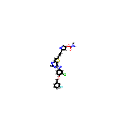 CN(C)C(=O)OC1CNC(C#Cc2cc3ncnc(Nc4ccc(OCc5cccc(F)c5)c(Cl)c4)c3s2)C1